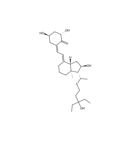 C=C1/C(=C\C=C2/CCC[C@@]3(C)[C@H]2C[C@@H](O)[C@@H]3C(C)SCCC(O)(CC)CC)C[C@@H](O)C[C@@H]1O